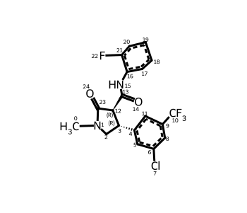 CN1C[C@@H](c2cc(Cl)cc(C(F)(F)F)c2)[C@H](C(=O)Nc2ccccc2F)C1=O